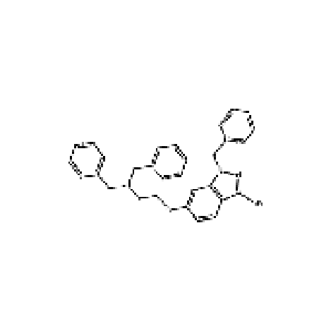 CCCc1nn(Cc2ccccc2)c2cc(OCCN(Cc3ccccc3)Cc3ccccc3)ccc12